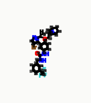 Cn1ncc(Br)c1-c1cc(NC(=O)NCc2cccc(C(F)(F)F)c2)ccc1OCCN1C2CCC1CC2